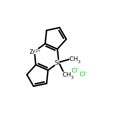 C[Si]1(C)C2=[C](CC=C2)[Zr+2][C]2=C1C=CC2.[Cl-].[Cl-]